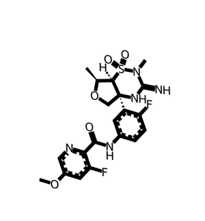 COc1cnc(C(=O)Nc2ccc(F)c([C@]34CO[C@@H](C)[C@H]3S(=O)(=O)N(C)C(=N)N4)c2)c(F)c1